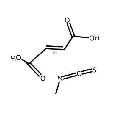 CN=C=S.O=C(O)/C=C/C(=O)O